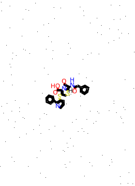 O=C(Cc1ccccc1)N[C@@H]1C(=O)N2C(C(=O)O)=C(Sc3cccnc3-c3ccccc3)CS[C@H]12